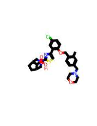 Cc1cc(CN2CCOCC2)ccc1COc1ccc(Cl)cc1-c1csc(N2CC3CCC(C2)C3C(=O)O)n1